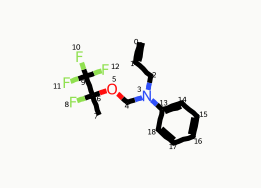 C=CCN(COC(C)(F)C(F)(F)F)c1ccccc1